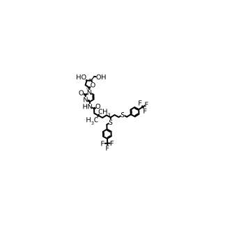 CC(C)(CCC(CCSCc1ccc(C(F)(F)F)cc1)SCc1ccc(C(F)(F)F)cc1)CC(=O)Nc1ccn([C@H]2CC(O)[C@@H](CO)O2)c(=O)n1